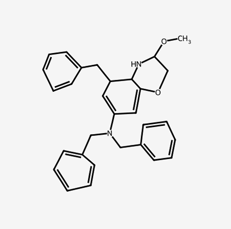 COC1COC2=CC(N(Cc3ccccc3)Cc3ccccc3)=CC(Cc3ccccc3)C2N1